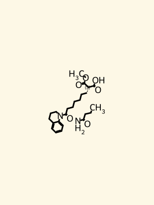 CCCC(N)=O.COC(=O)[C@@H](CCCCCCC(=O)N1CCCc2ccccc21)C(=O)O